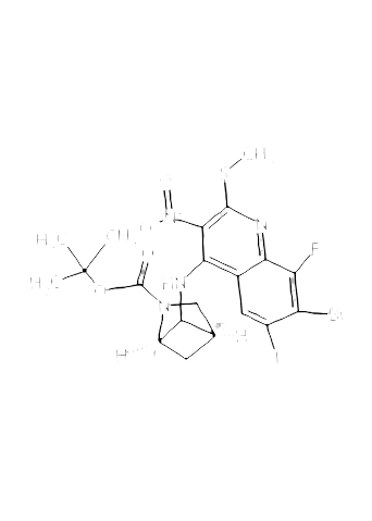 CSc1nc2c(F)c(Br)c(I)cc2c(NC2[C@@H]3C[C@H]2N(C(=O)OC(C)(C)C)C3)c1[N+](=O)[O-]